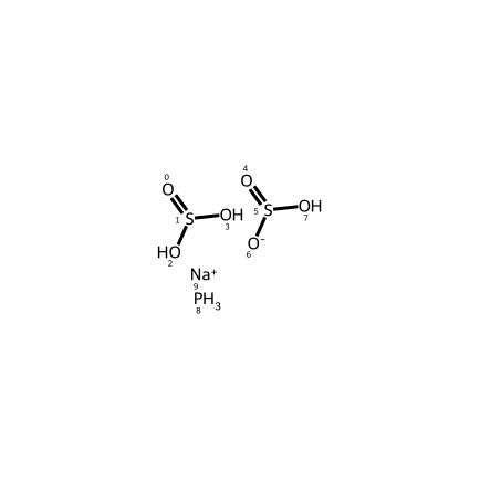 O=S(O)O.O=S([O-])O.P.[Na+]